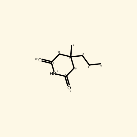 CCCC1(C)CC(=O)NC(=O)C1